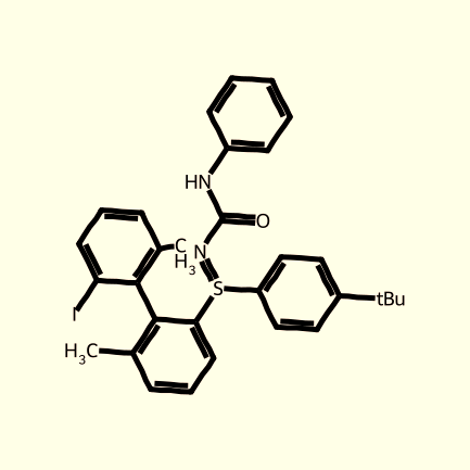 Cc1cccc(I)c1-c1c(C)cccc1S(=NC(=O)Nc1ccccc1)c1ccc(C(C)(C)C)cc1